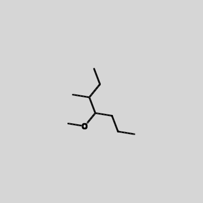 CCCC(OC)C(C)CC